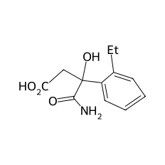 CCc1ccccc1C(O)(CC(=O)O)C(N)=O